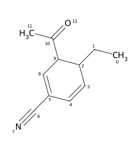 CCC1C=CC(C#N)=CC1C(C)=O